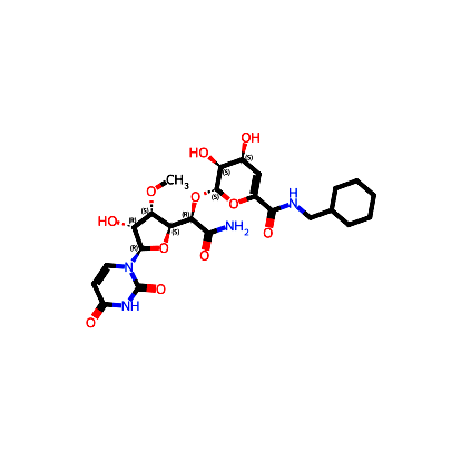 CO[C@H]1[C@@H](O)[C@H](n2ccc(=O)[nH]c2=O)O[C@@H]1[C@@H](O[C@H]1OC(C(=O)NCC2CCCCC2)=C[C@H](O)[C@@H]1O)C(N)=O